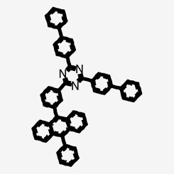 c1ccc(-c2ccc(-c3nc(-c4ccc(-c5ccccc5)cc4)nc(-c4cccc(-c5c6ccccc6c(-c6ccccc6)c6ccccc56)c4)n3)cc2)cc1